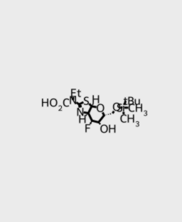 CCN(C(=O)O)C1=N[C@@H]2[C@H](F)[C@H](O)[C@@H](CO[Si](C)(C)C(C)(C)C)O[C@@H]2S1